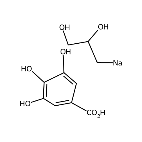 O=C(O)c1cc(O)c(O)c(O)c1.OCC(O)[CH2][Na]